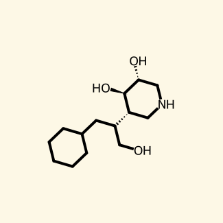 OCC(CC1CCCCC1)[C@H]1CNC[C@@H](O)[C@@H]1O